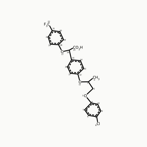 CC(COc1ccc(Cl)cc1)Oc1ccc(C(Oc2ccc(C(F)(F)F)cc2)C(=O)O)cc1